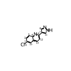 Clc1ccc2nc(-c3cn[nH]c3)ccc2c1